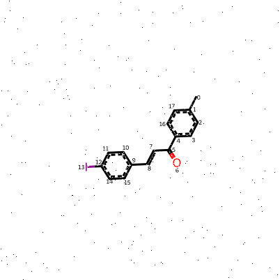 Cc1ccc(C(=O)/C=C/c2ccc(I)cc2)cc1